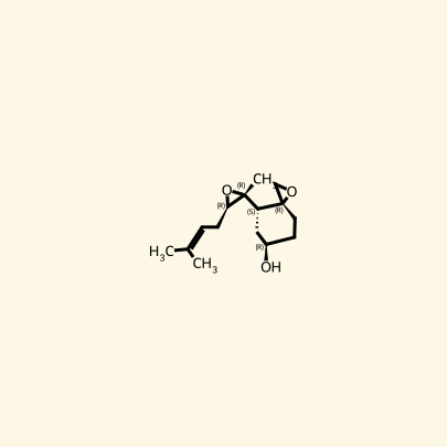 CC(C)=CC[C@H]1O[C@]1(C)[C@H]1C[C@H](O)CC[C@]12CO2